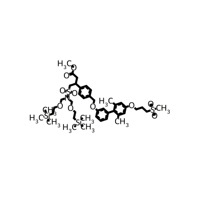 COC(=O)CC(CS(=O)(=O)N(COCC[Si](C)(C)C)COCC[Si](C)(C)C)c1ccc(COc2cccc(-c3c(C)cc(OCCCS(C)(=O)=O)cc3C)c2)cc1